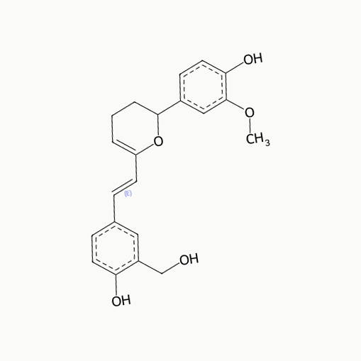 COc1cc(C2CCC=C(/C=C/c3ccc(O)c(CO)c3)O2)ccc1O